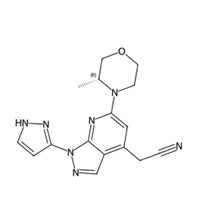 C[C@@H]1COCCN1c1cc(CC#N)c2cnn(-c3cc[nH]n3)c2n1